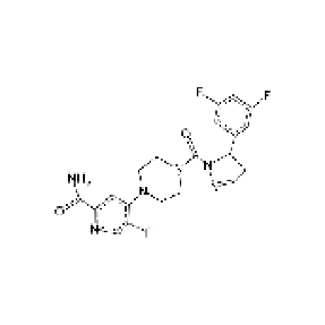 NC(=O)c1cc(N2CCN(C(=O)N3N=CCC3c3cc(F)cc(F)c3)CC2)c(F)cn1